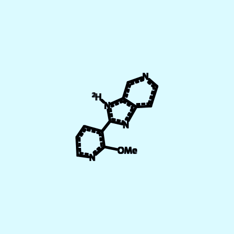 [2H]n1c(-c2cccnc2OC)nc2ccncc21